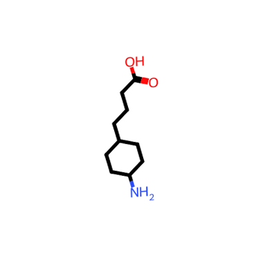 NC1CCC(CCCC(=O)O)CC1